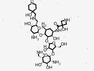 NC[C@@H]1O[C@H](O[C@H]2[C@@H](O)[C@H](O[C@@H]3[C@@H](O)[C@H](NC(=O)C4(O)CNC4)C[C@H](N)[C@H]3O[C@H]3O[C@H](CNCC4(O)CCNCC4)[C@@H](O)C[C@H]3N)O[C@@H]2CO)[C@H](N)[C@@H](O)[C@@H]1O